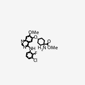 COc1cc2ncnc(Nc3cccc(Cl)c3F)c2cc1O[C@H]1CC[C@@](N)(C(=O)OC)CC1